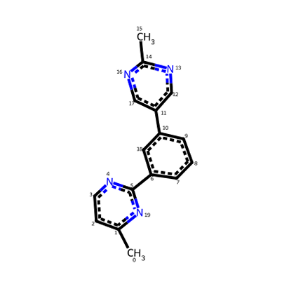 Cc1ccnc(-c2cccc(-c3cnc(C)nc3)c2)n1